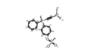 CS(=O)(=O)[O-].C[P+](C#CP(F)F)(c1ccccc1)c1ccccc1